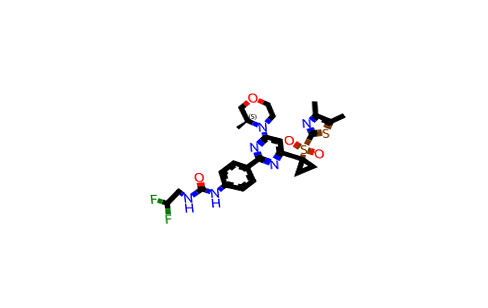 Cc1nc(S(=O)(=O)C2(c3cc(N4CCOC[C@@H]4C)nc(-c4ccc(NC(=O)NCC(F)F)cc4)n3)CC2)sc1C